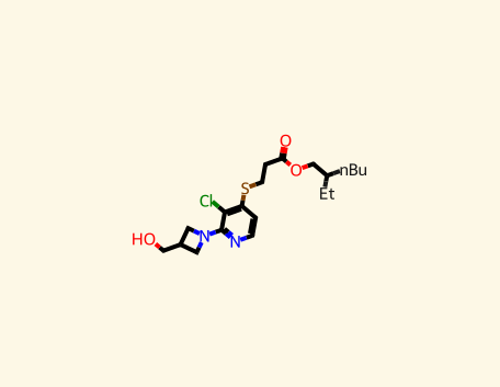 CCCCC(CC)COC(=O)CCSc1ccnc(N2CC(CO)C2)c1Cl